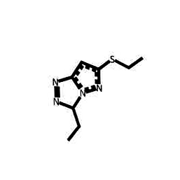 CCSc1cc2n(n1)C(CC)N=N2